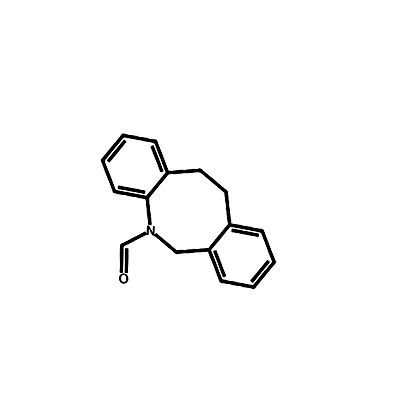 O=CN1Cc2ccccc2CCc2ccccc21